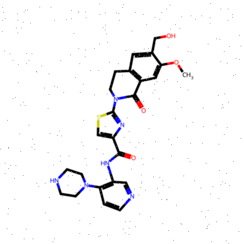 COc1cc2c(cc1CO)CCN(c1nc(C(=O)Nc3cnccc3N3CCNCC3)cs1)C2=O